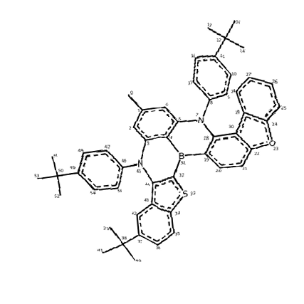 Cc1cc2c3c(c1)N(c1ccc(C(C)(C)C)cc1)c1c(ccc4oc5ccccc5c14)B3c1sc3ccc(C(C)(C)C)cc3c1N2c1ccc(C(C)(C)C)cc1